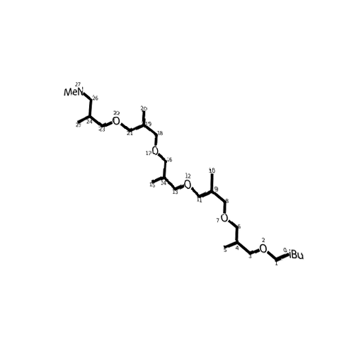 CCC(C)COCC(C)COCC(C)COCC(C)COCC(C)COCC(C)CNC